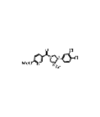 COc1ccc(C(=O)N2C[C@H](c3ccc(Cl)c(Cl)c3)[C@H](C(C)=O)C2)cn1